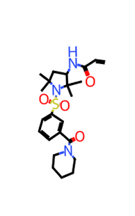 C=CC(=O)NC1CC(C)(C)N(S(=O)(=O)c2cccc(C(=O)N3CCCCC3)c2)C1(C)C